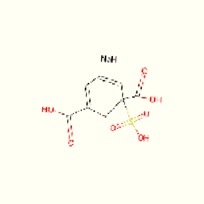 O=C(O)C1=CC=CC(C(=O)O)(S(=O)(=O)O)C1.[NaH]